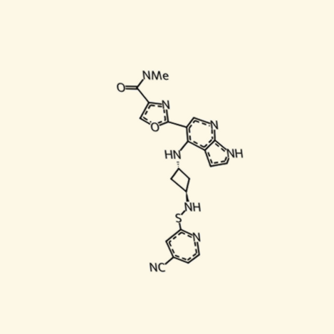 CNC(=O)c1coc(-c2cnc3[nH]ccc3c2N[C@H]2C[C@H](NSc3cc(C#N)ccn3)C2)n1